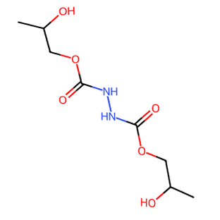 CC(O)COC(=O)NNC(=O)OCC(C)O